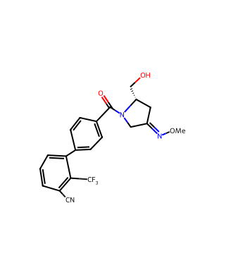 CO/N=C1\C[C@@H](CO)N(C(=O)c2ccc(-c3cccc(C#N)c3C(F)(F)F)cc2)C1